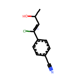 CC(O)/C=C(\Cl)c1ccc(C#N)cc1